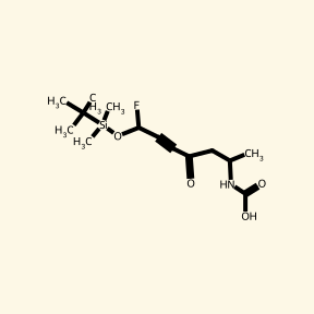 CC(CC(=O)C#CC(F)O[Si](C)(C)C(C)(C)C)NC(=O)O